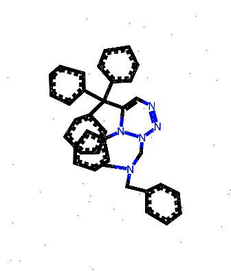 CN(Cc1ccccc1)CN1N=NC=C(C(c2ccccc2)(c2ccccc2)c2ccccc2)N1c1ccccc1